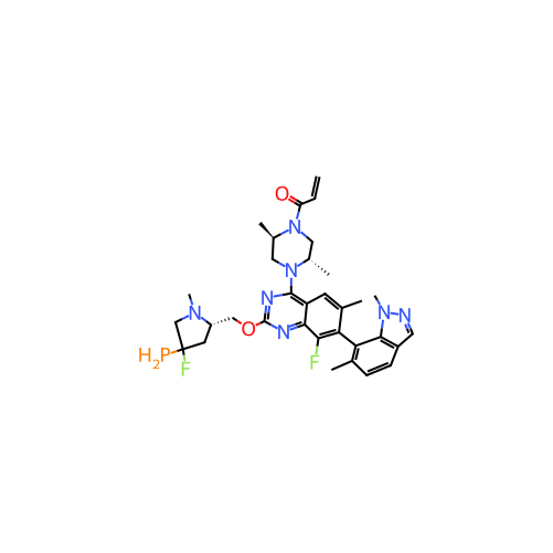 C=CC(=O)N1C[C@H](C)N(c2nc(OC[C@@H]3CC(F)(P)CN3C)nc3c(F)c(-c4c(C)ccc5cnn(C)c45)c(C)cc23)C[C@H]1C